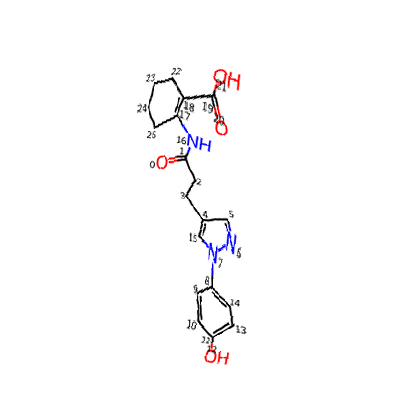 O=C(CCc1cnn(-c2ccc(O)cc2)c1)NC1=C(C(=O)O)CCCC1